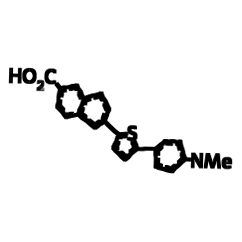 CNc1ccc(-c2ccc(-c3ccc4cc(C(=O)O)ccc4c3)s2)cc1